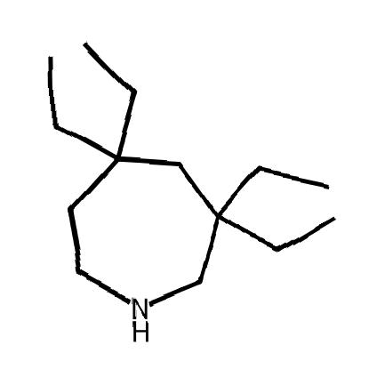 CCC1(CC)CCNCC(CC)(CC)C1